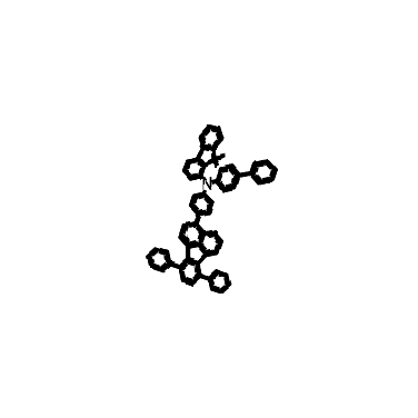 CC1(C)c2ccccc2-c2cccc(N(c3ccc(-c4ccccc4)cc3)c3ccc(-c4ccc5c6c(cccc46)-c4c(-c6ccccc6)ccc(-c6ccccc6)c4-5)cc3)c21